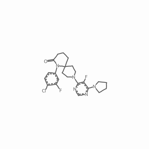 O=C1CCCC2(CCN(c3ncnc(N4CCCC4)c3F)CC2)N1c1ccc(Cl)c(F)c1